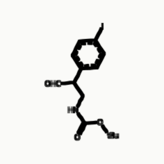 CC(C)(C)OC(=O)NCC(C=O)c1ccc(I)cc1